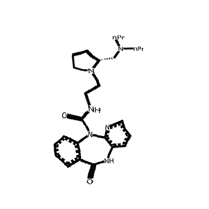 CCCN(CCC)C[C@H]1CCCN1CCNC(=O)N1c2ccccc2C(=O)Nc2cccnc21